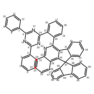 c1ccc(-c2nc(-c3ccccc3)nc(-c3ccccc3-c3nc4ccccc4c4c3-c3ccccc3C43c4ccccc4-c4ccccc43)n2)cc1